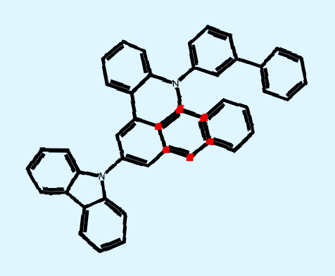 c1ccc(-c2cccc(N(c3ccccc3-c3cc(-n4c5ccccc5c5ccccc54)cc4ccccc34)c3cccc4ccccc34)c2)cc1